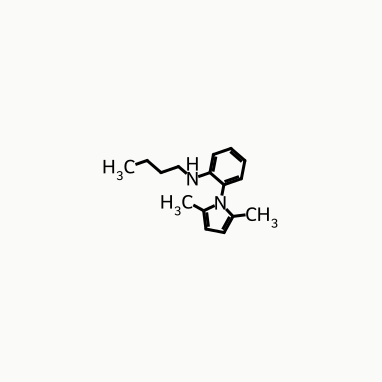 CCCCNc1ccccc1-n1c(C)ccc1C